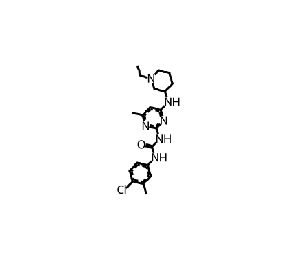 CCN1CCCC(Nc2cc(C)nc(NC(=O)Nc3ccc(Cl)c(C)c3)n2)C1